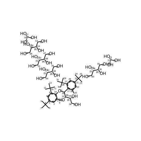 Cc1cc(C(C)(C)C)cc(C(C)(C)C)c1OC(c1c(C)cc(C(C)(C)C)cc1C(C)(C)C)[C@H](O)[C@H](O)CO.OC[C@@H](O)[C@@H](O)CO.OC[C@@H](O)[C@@H](O)CO.OC[C@@H](O)[C@@H](O)CO.OC[C@@H](O)[C@@H](O)CO.OP(O)O.OP(O)O